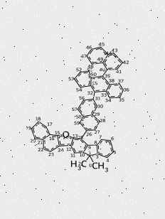 CC1(C)c2ccccc2-c2c1cc1c(oc3c4ccccc4ccc13)c2-c1ccc2cc(-c3c4ccccc4c(-c4cccc5ccccc45)c4ccccc34)ccc2c1